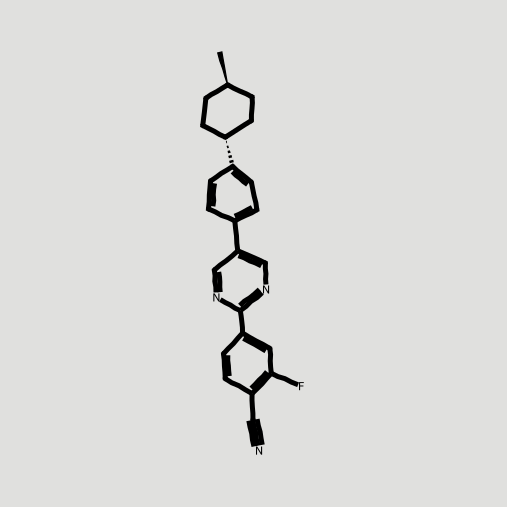 C[C@H]1CC[C@H](c2ccc(-c3cnc(-c4ccc(C#N)c(F)c4)nc3)cc2)CC1